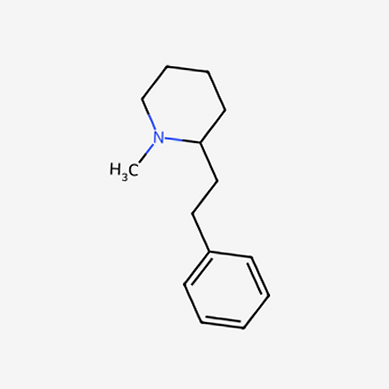 CN1CCCCC1CCc1ccccc1